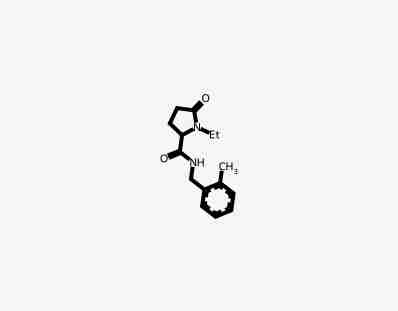 CCN1C(=O)CCC1C(=O)NCc1ccccc1C